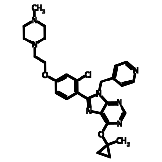 CN1CCN(CCOc2ccc(-c3nc4c(OC5(C)CC5)ncnc4n3Cc3ccncc3)c(Cl)c2)CC1